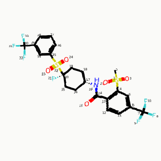 CS(=O)(=O)c1cc(C(F)(F)F)ccc1C(=O)N[C@H]1CC[C@](F)(S(=O)(=O)c2cccc(C(F)(F)F)c2)CC1